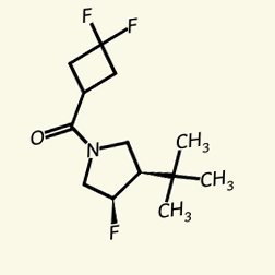 CC(C)(C)[C@@H]1CN(C(=O)C2CC(F)(F)C2)C[C@@H]1F